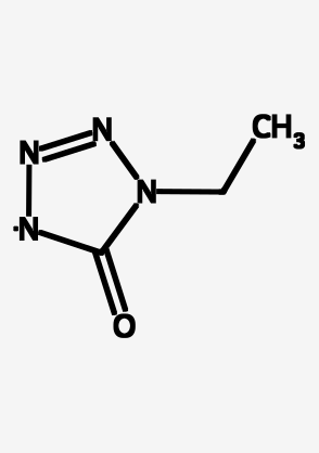 CCN1N=N[N]C1=O